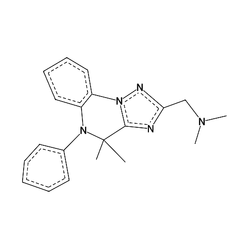 CN(C)Cc1nc2n(n1)-c1ccccc1N(c1ccccc1)C2(C)C